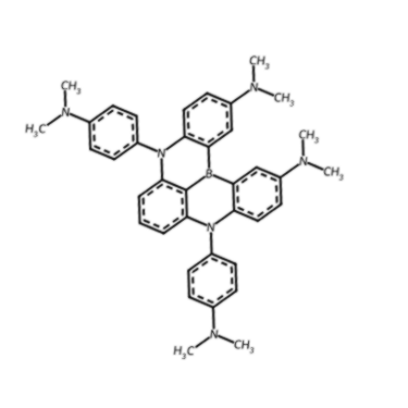 CN(C)c1ccc(N2c3ccc(N(C)C)cc3B3c4cc(N(C)C)ccc4N(c4ccc(N(C)C)cc4)c4cccc2c43)cc1